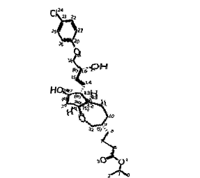 CC(C)OC(=O)CCC[C@H]1CC[C@@H]2[C@@H](C=C[C@@H](O)COc3ccc(Cl)cc3)[C@H](O)C[C@@H]2OC1